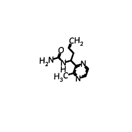 C=CCC(NC(N)=O)c1nccnc1C